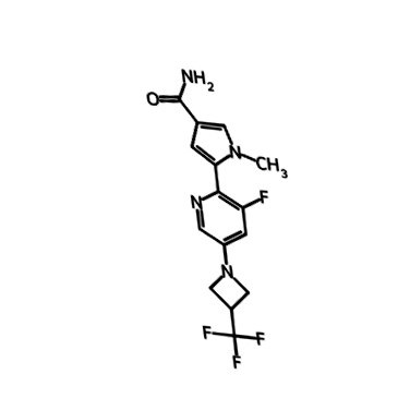 Cn1cc(C(N)=O)cc1-c1ncc(N2CC(C(F)(F)F)C2)cc1F